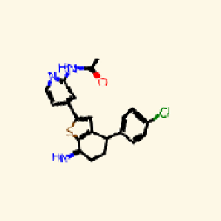 CC(=O)Nc1cc(-c2cc3c(s2)C(=N)CCC3c2ccc(Cl)cc2)ccn1